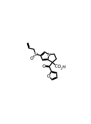 C=CC[S+]([O-])c1cc2n(c1)CCC2(C(=O)O)C(=O)c1ccco1